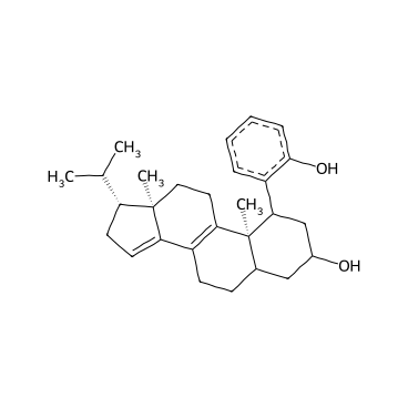 CC(C)[C@H]1CC=C2C3=C(CC[C@@]21C)[C@]1(C)C(CC3)CC(O)CC1c1ccccc1O